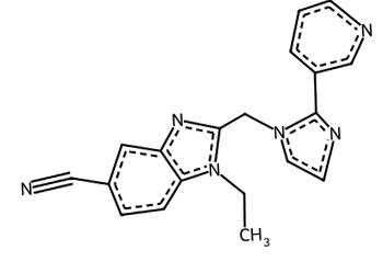 CCn1c(Cn2ccnc2-c2cccnc2)nc2cc(C#N)ccc21